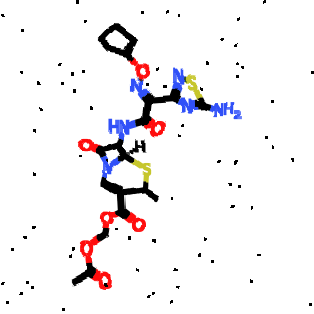 CC(=O)OCOC(=O)C1=CN2C(=O)C(NC(=O)C(=NOC3CCCC3)c3nsc(N)n3)[C@H]2SC1C